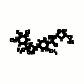 CCOC1=NOC(NC(=O)c2ccc(C3=NO[C@@](c4cc(Cl)c(F)c(Cl)c4)(C(F)(F)F)C3)cc2C)C1